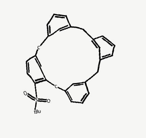 CC(C)(C)S(=O)(=O)c1ccc2cc1Cc1cccc(c1)Cc1cccc(c1)Cc1cccc(c1)C2